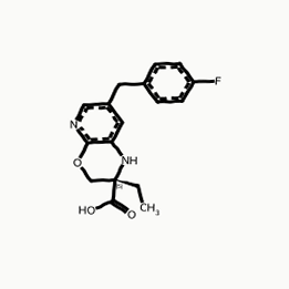 CC[C@@]1(C(=O)O)COc2ncc(Cc3ccc(F)cc3)cc2N1